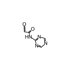 O=CC(=O)Nc1ncncn1